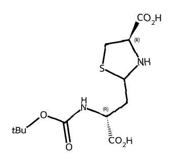 CC(C)(C)OC(=O)N[C@H](CC1N[C@H](C(=O)O)CS1)C(=O)O